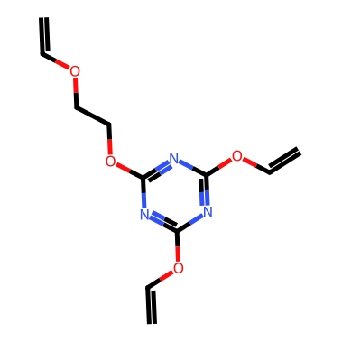 C=COCCOc1nc(OC=C)nc(OC=C)n1